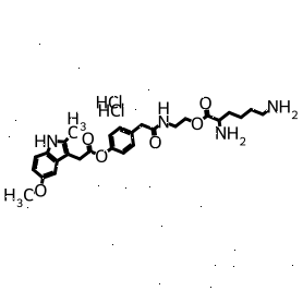 COc1ccc2[nH]c(C)c(CC(=O)Oc3ccc(CC(=O)NCCOC(=O)C(N)CCCCN)cc3)c2c1.Cl.Cl